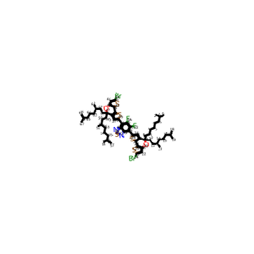 CC(C)CCCCCCC1(CCC(C)CCCC(C)C)Oc2cc(Br)sc2-c2sc(-c3c(F)c(F)c(-c4cc5c(s4)-c4sc(Br)cc4OC5(CCC(C)CCCC(C)C)CCC(C)CCCC(C)C)c4nsnc34)cc21